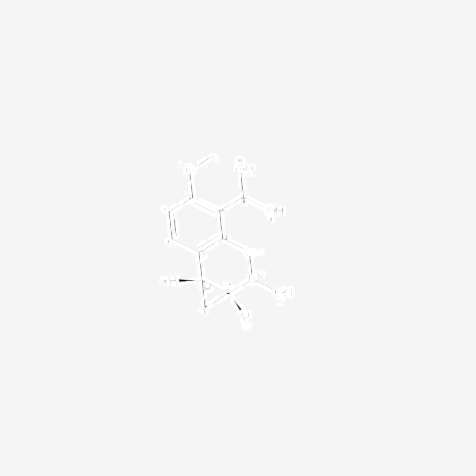 COc1ccc2c(c1C(O)O)OB(O)[C@@H]1C[C@H]21